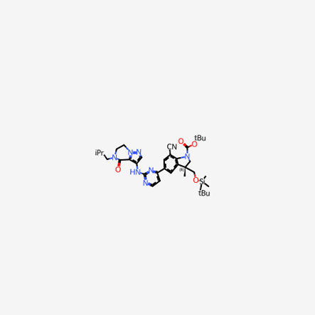 CC(C)CN1CCn2ncc(Nc3nccc(-c4cc(C#N)c5c(c4)[C@@](C)(CO[Si](C)(C)C(C)(C)C)CN5C(=O)OC(C)(C)C)n3)c2C1=O